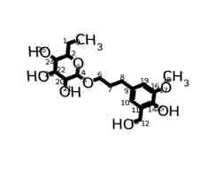 CCC1OC(OCCCc2cc(CO)c(O)c(OC)c2)C(O)C(O)C1O